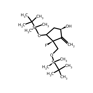 C=C1[C@H](O)CC(O[Si](C)(C)C(C)(C)C)[C@@]1(F)CO[Si](C)(C)C(C)(C)C